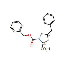 O=C(O)[C@@H]1C[C@H](Cc2ccccc2)CN1C(=O)OCc1ccccc1